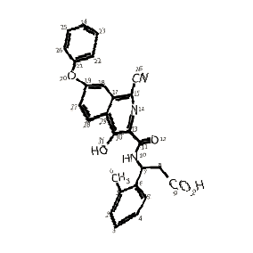 Cc1ccccc1C(CC(=O)O)NC(=O)c1nc(C#N)c2cc(Oc3ccccc3)ccc2c1O